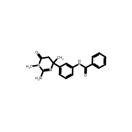 CN1C(=O)CC(C)(c2cccc(NC(=O)c3ccccc3)c2)N=C1N